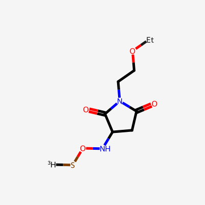 [3H]SONC1CC(=O)N(CCOCC)C1=O